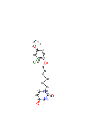 COc1ccc(OCCCCCCn2ccc(=O)[nH]c2=O)c(Cl)c1